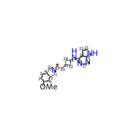 COc1ccc2c(c1)CN(SCC1CC(Nc3ncnc4[nH]ccc34)C1)C2